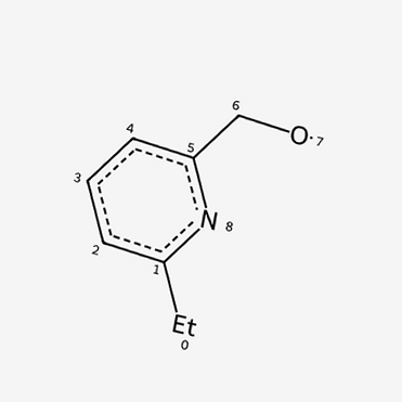 CCc1cccc(C[O])n1